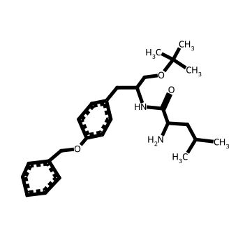 CC(C)CC(N)C(=O)NC(COC(C)(C)C)Cc1ccc(OCc2ccccc2)cc1